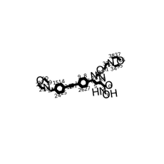 O=C(NO)c1cc(-c2ccc(C#Cc3ccc(CN4CCOCC4)cc3)cc2)nc(OCCN2CCOCC2)n1